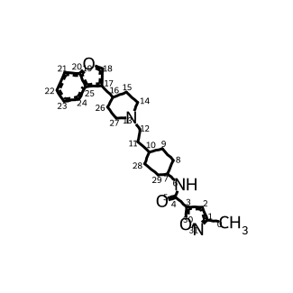 Cc1cc(C(=O)NC2CCC(CCN3CCC(c4coc5ccccc45)CC3)CC2)on1